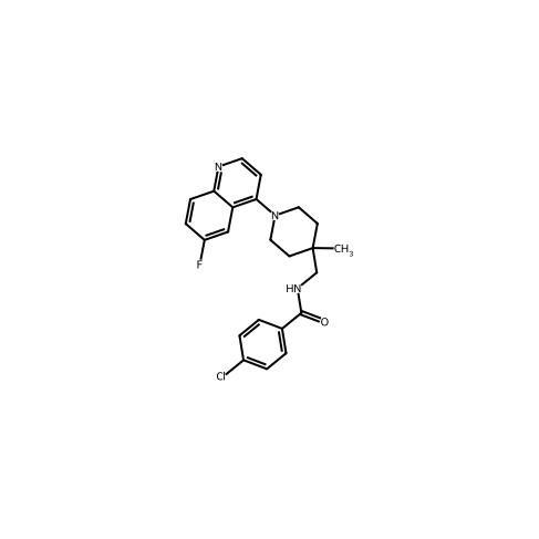 CC1(CNC(=O)c2ccc(Cl)cc2)CCN(c2ccnc3ccc(F)cc23)CC1